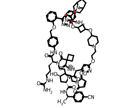 CC(C)[C@@H](C(=O)N1C[C@H](O)C[C@H]1C(=O)N[C@H](C)c1ccc(C#N)cc1)c1cc(OCCN2CCC(OC3CC(Oc4cc(N5C6CCC5CN(c5cc(-c7ccccc7OCc7ccc(NC(=O)[C@H](CCCNC(N)=O)N(CCCCCN8C(=O)C=CC8=O)C(=O)C8(C(N)=O)CCC8)cc7)nnc5N)C6)ccn4)C3)CC2)no1